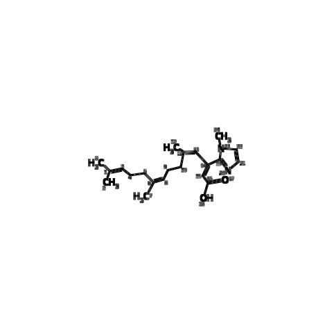 CC(C)=CCCC(C)=CCCC(C)=CC(=CC(=O)O)c1nccn1C